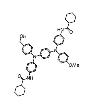 COc1ccc(N(c2ccc(NC(=O)C3CCCCC3)cc2)c2ccc(N(c3ccc(CO)cc3)c3ccc(NC(=O)C4CCCCC4)cc3)cc2)cc1